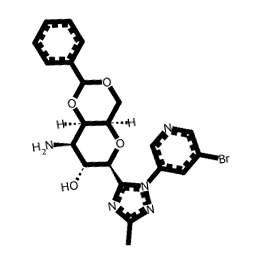 Cc1nc([C@@H]2O[C@@H]3COC(c4ccccc4)O[C@@H]3[C@H](N)[C@H]2O)n(-c2cncc(Br)c2)n1